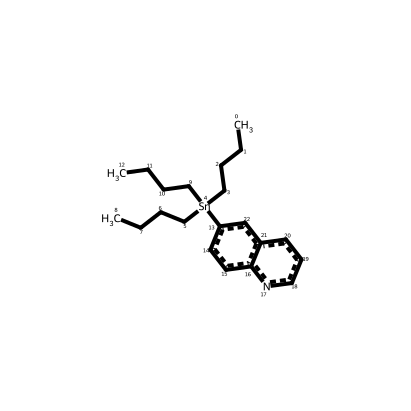 CCC[CH2][Sn]([CH2]CCC)([CH2]CCC)[c]1ccc2ncccc2c1